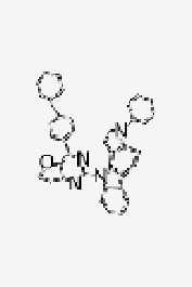 c1ccc(-c2ccc(-c3nc(-n4c5ccccc5c5ccc6c(ccn6-c6ccccc6)c54)nc4ccoc34)cc2)cc1